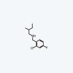 CCC(C)CNCc1ccc(F)cc1Cl